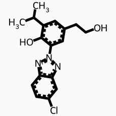 CC(C)c1cc(CCO)cc(-n2nc3ccc(Cl)cc3n2)c1O